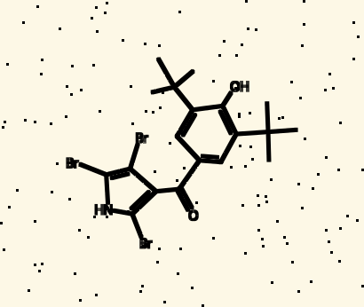 CC(C)(C)c1cc(C(=O)c2c(Br)[nH]c(Br)c2Br)cc(C(C)(C)C)c1O